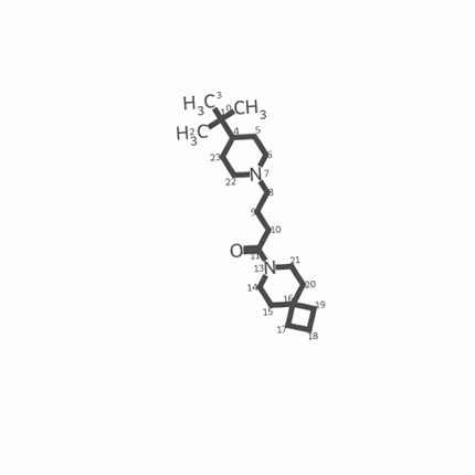 CC(C)(C)C1CCN(CCCC(=O)N2CCC3(CCC3)CC2)CC1